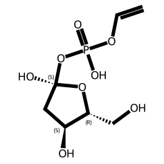 C=COP(=O)(O)O[C@]1(O)C[C@H](O)[C@@H](CO)O1